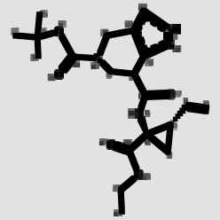 C=C[C@@H]1C[C@]1(NC(=O)C1CN(C(=O)OC(C)(C)C)Cc2c[nH]nc21)C(=O)OCC